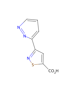 O=C(O)c1cc(-c2cccnn2)ns1